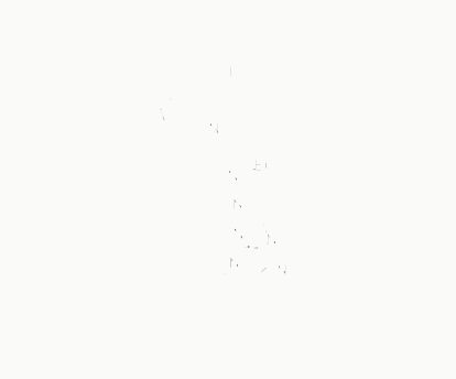 CC[C@H]1CN(c2nc(N)c(C(=O)NCCO)nc2Cl)CCN1C1CCN(C(CCO)c2ccc(Cl)cc2)CC1